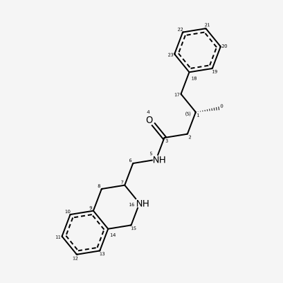 C[C@H](CC(=O)NCC1Cc2ccccc2CN1)Cc1ccccc1